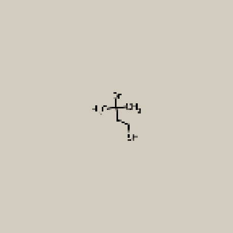 CC(C)(Br)CCS